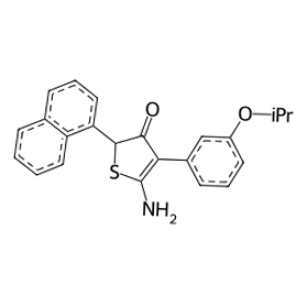 CC(C)Oc1cccc(C2=C(N)SC(c3cccc4ccccc34)C2=O)c1